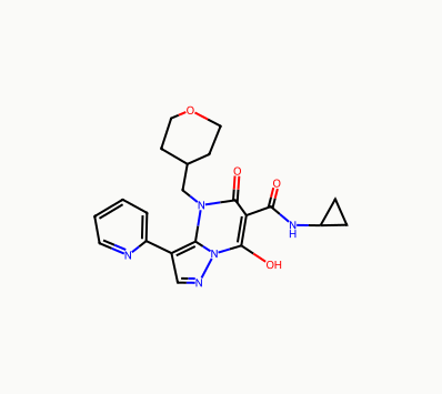 O=C(NC1CC1)c1c(O)n2ncc(-c3ccccn3)c2n(CC2CCOCC2)c1=O